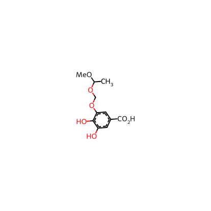 COC(C)OCOc1cc(C(=O)O)cc(O)c1O